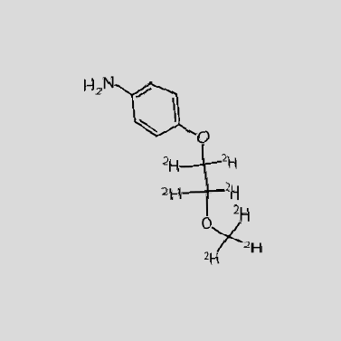 [2H]C([2H])([2H])OC([2H])([2H])C([2H])([2H])Oc1ccc(N)cc1